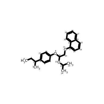 CCC(C)c1ccc(OC(COc2cccc3ccccc23)OC(C)C)cc1